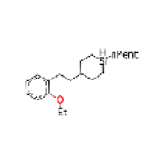 CCCCC[SiH]1CCC(CCc2ccccc2OCC)CC1